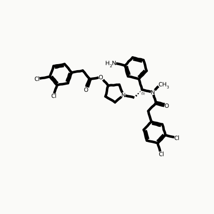 CN(C(=O)Cc1ccc(Cl)c(Cl)c1)[C@H](CN1CCC(OC(=O)Cc2ccc(Cl)c(Cl)c2)C1)c1cccc(N)c1